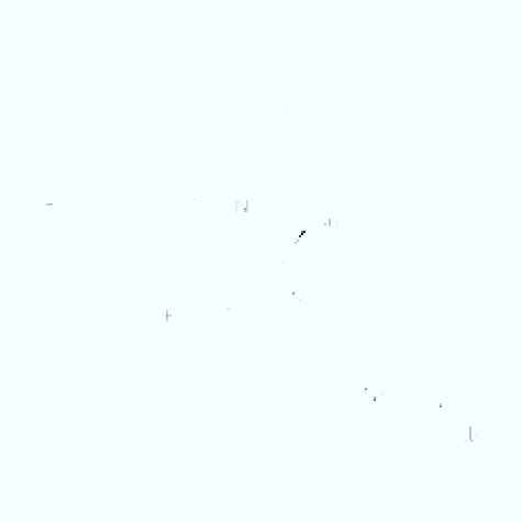 CC(C)(C)OC(=O)N1CCC(CN(C(=O)CCl)[C@@H](c2cc(-c3cc(F)ccc3F)cn2Cc2ccccc2)C(C)(C)C)C1